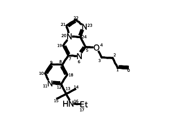 C=CCCOc1nc(-c2ccnc(C(C)(C)NCC)c2)cn2ccnc12